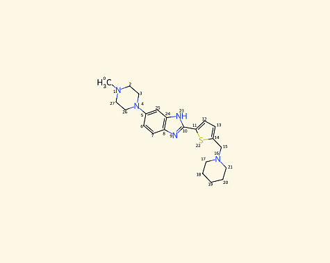 CN1CCN(c2ccc3nc(-c4ccc(CN5CCCCC5)s4)[nH]c3c2)CC1